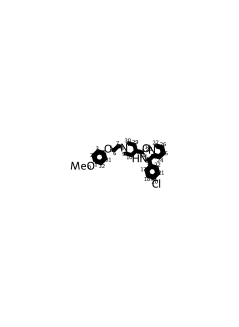 COc1ccc(OCCN2CCC(C(=O)NC(c3ccc(Cl)cc3)c3ccccn3)CC2)cc1